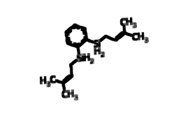 CC(C)=CC[SiH2]c1ccccc1[SiH2]CC=C(C)C